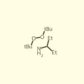 CC(C)(C)OOC(C)(C)C.CCC(N)CC